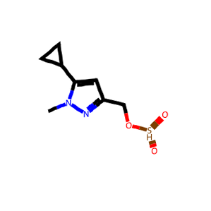 Cn1nc(CO[SH](=O)=O)cc1C1CC1